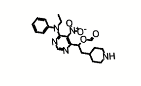 CCN(c1ccccc1)c1ncnc(C(CC2CCNCC2)OC=O)c1[N+](=O)[O-]